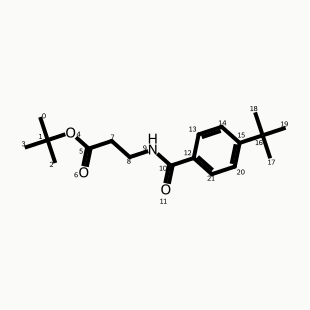 CC(C)(C)OC(=O)CCNC(=O)c1ccc(C(C)(C)C)cc1